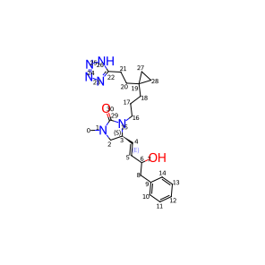 CN1C[C@H](/C=C/C(O)Cc2ccccc2)N(CCCC2(CCc3nnn[nH]3)CC2)C1=O